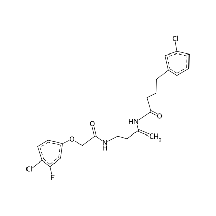 C=C(CCNC(=O)COc1ccc(Cl)c(F)c1)NC(=O)CCCc1cccc(Cl)c1